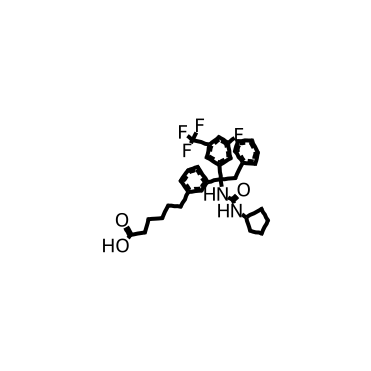 O=C(O)CCCCCc1cccc(C(Cc2ccccc2)(NC(=O)NC2CCCC2)c2cc(F)cc(C(F)(F)F)c2)c1